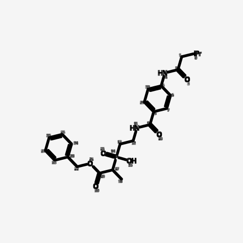 CC(C)CC(=O)Nc1ccc(C(=O)NCCP(=O)(O)C(C)C(=O)OCc2ccccc2)cc1